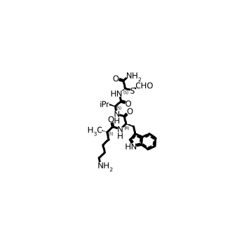 CC(C)[C@H](NC(=O)[C@@H](Cc1c[nH]c2ccccc12)NC(=O)[C@@H](C)CCCCN)C(=O)N[C@@H](SC=O)C(N)=O